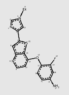 CCn1cnc(-c2cc3nccc(Oc4ccc(N)cc4F)c3s2)c1